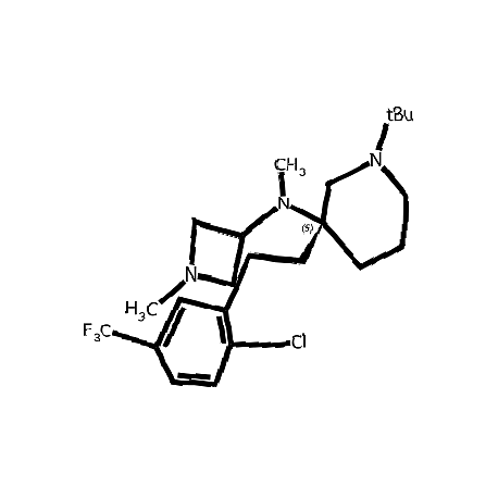 CN1CC(N(C)[C@@]2(CCc3cc(C(F)(F)F)ccc3Cl)CCCN(C(C)(C)C)C2)C1